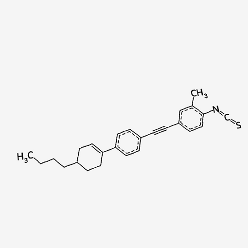 CCCCC1CC=C(c2ccc(C#Cc3ccc(N=C=S)c(C)c3)cc2)CC1